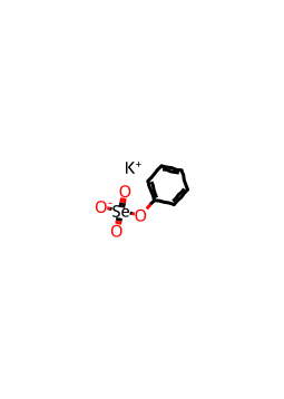 O=[Se](=O)([O-])Oc1ccccc1.[K+]